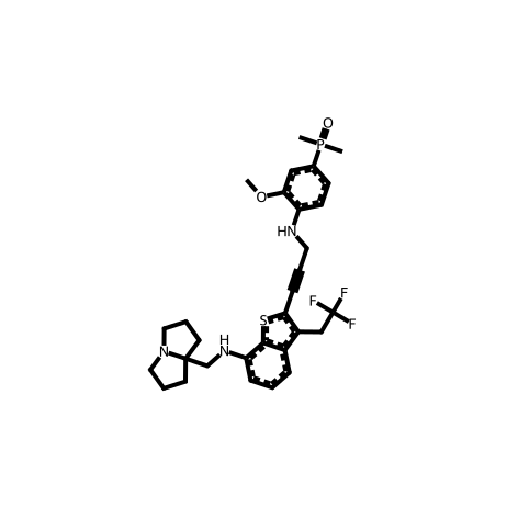 COc1cc(P(C)(C)=O)ccc1NCC#Cc1sc2c(NCC34CCCN3CCC4)cccc2c1CC(F)(F)F